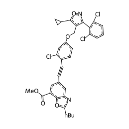 CCCCc1nc2cc(C#Cc3ccc(OCc4c(-c5c(Cl)cccc5Cl)noc4C4CC4)cc3Cl)cc(C(=O)OC)c2o1